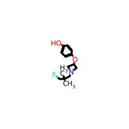 CC(C)(CF)CN1CC(Oc2ccc(O)cc2)C1